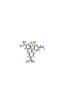 CCN(CC)c1ccc2c(-c3ccc(C)cc3S(=O)(=O)[O-])c3ccc(=[N+](CC)CC)cc-3oc2c1